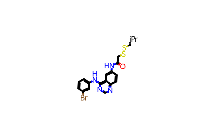 CC(C)CSSCC(=O)Nc1ccc2ncnc(Nc3cccc(Br)c3)c2c1